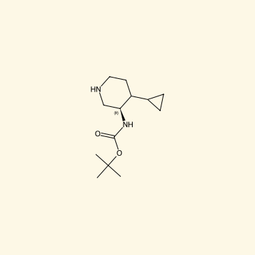 CC(C)(C)OC(=O)N[C@H]1CNCCC1C1CC1